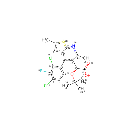 Cc1cc2c(-c3ccc(Cl)c(F)c3Cl)c([C@H](OC(C)(C)C)C(=O)O)c(C)nc2s1